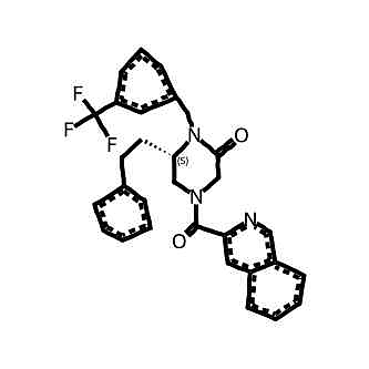 O=C(c1cc2ccccc2cn1)N1CC(=O)N(Cc2cccc(C(F)(F)F)c2)[C@@H](CCc2ccccc2)C1